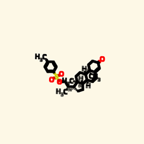 Cc1ccc(S(=O)(=O)OC[C@@H](C)[C@H]2CC[C@H]3[C@@H]4C=CC5=CC(=O)CC[C@]5(C)[C@H]4CC[C@]23C)cc1